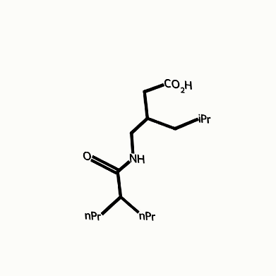 CCCC(CCC)C(=O)NCC(CC(=O)O)CC(C)C